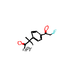 CCCC(=O)C(C)(C)c1ccc(C(=O)CF)cc1